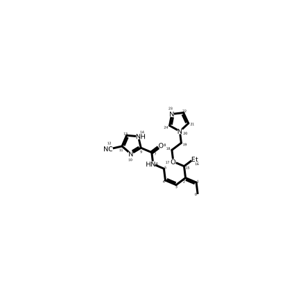 C/C=C(\C=C/CNC(=O)c1nc(C#N)c[nH]1)C(CC)OCCn1ccnc1